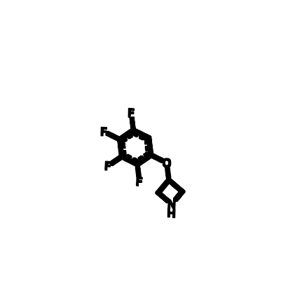 Fc1cc(OC2CNC2)c(F)c(F)c1F